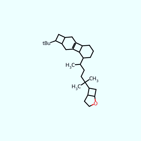 CC(CCC(C)(C)C1CC2OCCC21)C1CCCC2C3=C(CC4C(C3)CC4C(C)(C)C)C21